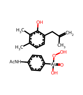 C=C(C)Cc1ccc(C)c(C)c1O.CC(=O)Nc1ccc([As](=O)(O)OO)cc1